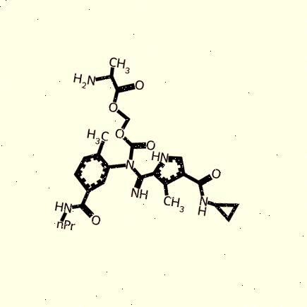 CCCNC(=O)c1ccc(C)c(N(C(=N)c2[nH]cc(C(=O)NC3CC3)c2C)C(=O)OCOC(=O)C(C)N)c1